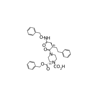 O=C(C[C@@H](CCc1ccccc1)C(=O)N1CCN(C(=O)O)[C@H](C(=O)OCc2ccccc2)C1)NOCc1ccccc1